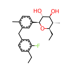 CCc1ccc(Cc2cc([C@@H]3O[C@H](CC)[C@@H](C)[C@H](O)[C@H]3O)ccc2C)cc1F